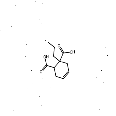 CCCC1(C(=O)O)CC=CCC1C(=O)O